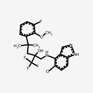 COc1c(F)cccc1C(C)(C)CC(O)(CNc1c(Cl)ccc2[nH]ncc12)C(F)(F)F